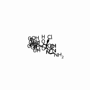 C[C@H](OP(=O)(O)OP(=O)(O)OP(=O)(O)O)[C@H]1O[C@@H](n2ncc(N)nc2=O)C(O)(C#CCl)C1O